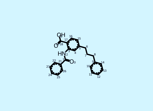 O=C(Nc1cc(CCCc2ccccc2)ccc1C(=O)O)c1ccccc1